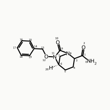 NC(=O)C1CC[C@@H]2CN1C(=O)N2OCc1ccccc1